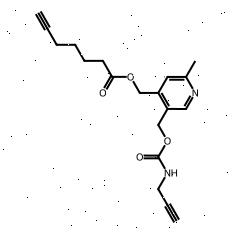 C#CCCCCC(=O)OCc1[c]c(C)ncc1COC(=O)NCC#C